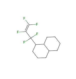 FC(F)=C(F)C(F)(F)C1CCCC2CCCCC21